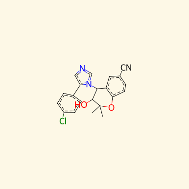 CC1(C)Oc2ccc(C#N)cc2C(n2cncc2-c2ccc(Cl)cc2)C1O